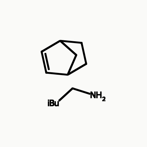 C1=CC2CCC1C2.CCC(C)CN